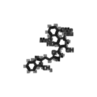 CCCCc1nc(O)c(-c2nnc(CCc3nc4ccccc4n3C)o2)c(O)c1-c1c(OC)cccc1OC